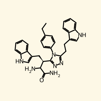 CCc1ccc(-n2c(CCc3c[nH]c4ccccc34)nnc2[C@H](Cc2c[nH]c3ccccc23)C(N)C(N)=O)cc1